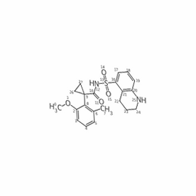 COc1cccc(C)c1C1(C(=O)NS(=O)(=O)c2cccc3c2CCCN3)CC1